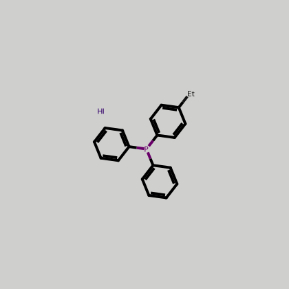 CCc1ccc(P(c2ccccc2)c2ccccc2)cc1.I